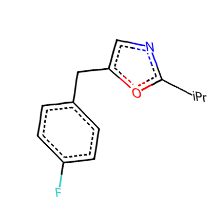 CC(C)c1ncc(Cc2ccc(F)cc2)o1